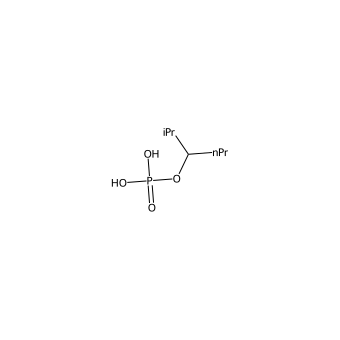 CCCC(OP(=O)(O)O)C(C)C